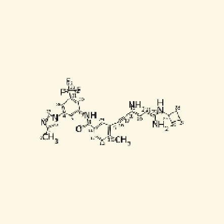 Cc1cn(-c2cc(NC(=O)c3ccc(C)c(C#C/C(N)=C/C=C(\N)NC4CCC4)c3)cc(C(F)(F)F)c2)cn1